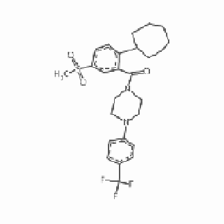 CS(=O)(=O)c1ccc(C2CCCCCC2)c(C(=O)N2CCN(c3ccc(C(F)(F)F)cc3)CC2)c1